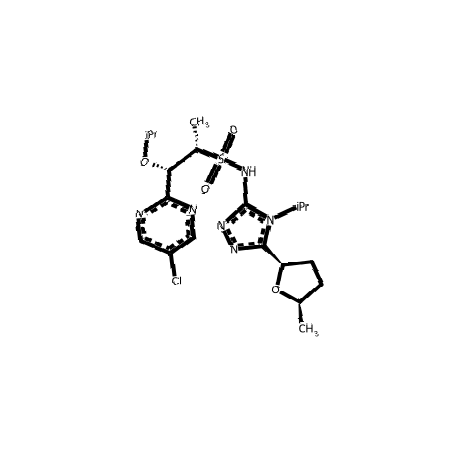 CC(C)O[C@@H](c1ncc(Cl)cn1)[C@H](C)S(=O)(=O)Nc1nnc([C@H]2CC[C@@H](C)O2)n1C(C)C